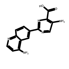 Nc1cnc(-c2ccc3nccc(N)c3c2)nc1C(=O)O